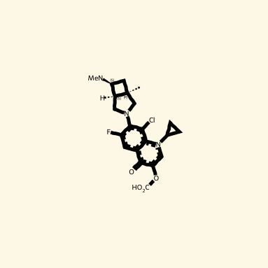 CN[C@H]1C[C@@]2(C)CN(c3c(F)cc4c(=O)c(OC(=O)O)cn(C5CC5)c4c3Cl)C[C@@H]12